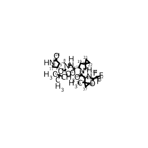 CC(C)(C)OC(=O)N(C[C@@H]1CCNC1=O)NC(=O)[C@@H]1CC2(CC2)CN1C(=O)[C@@H](NC(=O)C(F)(F)F)C1(C)CC1